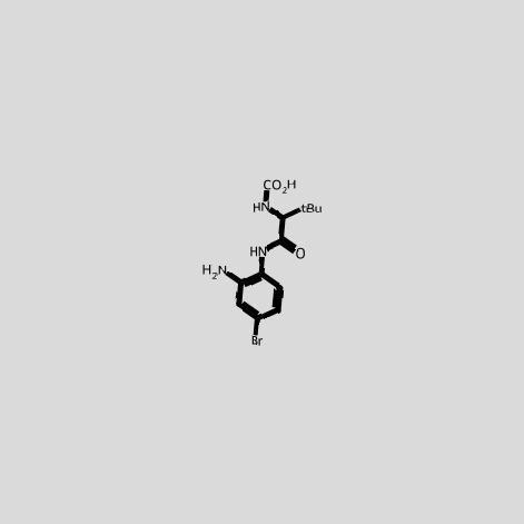 CC(C)(C)C(NC(=O)O)C(=O)Nc1ccc(Br)cc1N